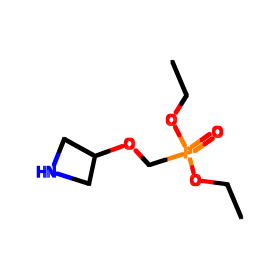 CCOP(=O)(COC1CNC1)OCC